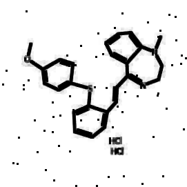 COc1ccc(Sc2ccccc2C=CC2=NCCN(C)c3ccccc32)cc1.Cl.Cl